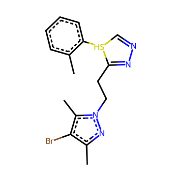 Cc1ccccc1[SH]1C=NN=C1CCn1nc(C)c(Br)c1C